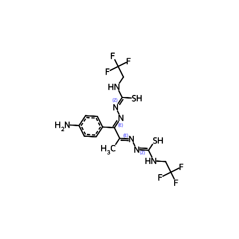 CC(=N\N=C(/S)NCC(F)(F)F)/C(=N/N=C(\S)NCC(F)(F)F)c1ccc(N)cc1